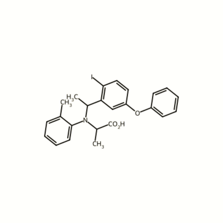 Cc1ccccc1N(C(C)C(=O)O)C(C)c1cc(Oc2ccccc2)ccc1I